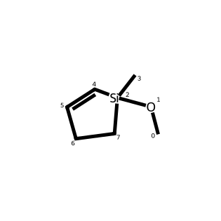 CO[Si]1(C)C=CCC1